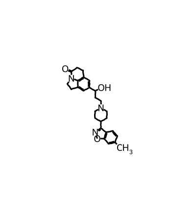 Cc1ccc2c(C3CCN(CCC(O)c4cc5c6c(c4)CCN6C(=O)CC5)CC3)noc2c1